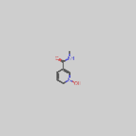 CNC(=O)C1=CN(O)CC=C1